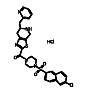 Cl.O=C(c1nc2c(s1)CNC(Cc1ccccn1)C2)N1CCN(S(=O)(=O)c2ccc3cc(Cl)ccc3c2)CC1